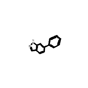 c1ccc(-c2ccc3cn[nH]c3c2)cc1